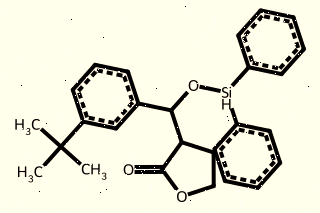 CC(C)(C)c1cccc(C(O[SiH](c2ccccc2)c2ccccc2)C2CCOC2=O)c1